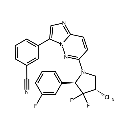 C[C@H]1CN(c2ccc3ncc(-c4cccc(C#N)c4)n3n2)[C@H](c2cccc(F)c2)C1(F)F